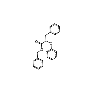 O=C(OCc1ccccc1)C(Cc1ccccc1)Oc1ccccn1